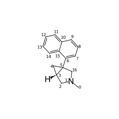 CN1C[C@@H]2CC2(c2cccc3ccccc23)C1